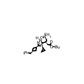 CC(C)C[C@H]1C[C@@H](c2nnc([C@H](CC(=O)OC(C)(C)C)CN(C)C)n2C2CC2)C1